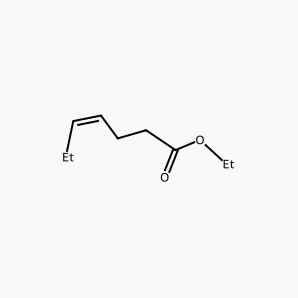 CC/C=C\CCC(=O)OCC